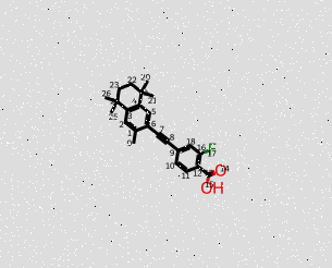 Cc1cc2c(cc1C#Cc1ccc(C(=O)O)c(F)c1)C(C)(C)CCC2(C)C